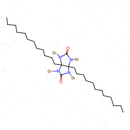 CCCCCCCCCCCCC12N(Br)C(=O)N(Br)C1(CCCCCCCCCCCC)N(Br)C(=O)N2Br